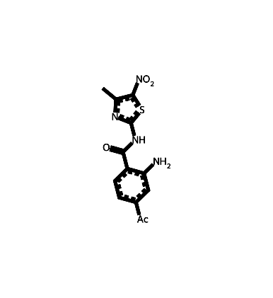 CC(=O)c1ccc(C(=O)Nc2nc(C)c([N+](=O)[O-])s2)c(N)c1